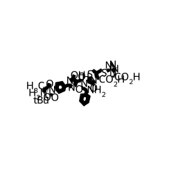 C[C@@H](N)C(=O)N(C(=O)OC(C)(C)C)c1ccc(-c2ncc(C(=O)N(C(=O)C(N)c3ccccc3)C3C(=O)N4C(C(=O)O)=C(CSc5nnnn5CC(=O)O)CS[C@@H]34)c(O)n2)cc1